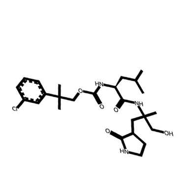 CC(C)C[C@H](NC(=O)OCC(C)(C)c1cccc(Cl)c1)C(=O)NC(C)(CO)CC1CCNC1=O